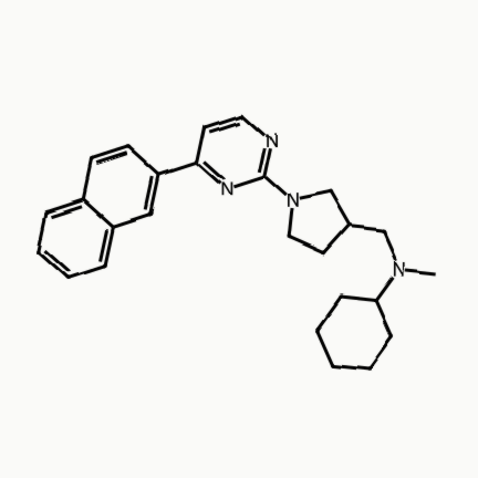 CN(CC1CCN(c2nccc(-c3ccc4ccccc4c3)n2)C1)C1CCCCC1